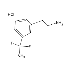 CC(F)(F)c1cccc(CCN)c1.Cl